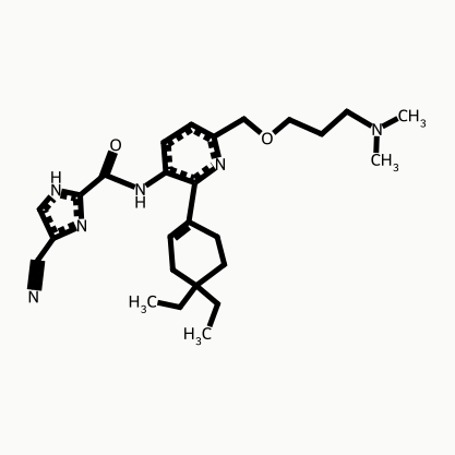 CCC1(CC)CC=C(c2nc(COCCCN(C)C)ccc2NC(=O)c2nc(C#N)c[nH]2)CC1